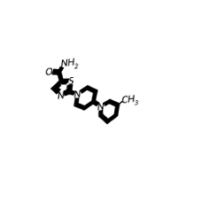 C[C@@H]1CCCN(C2CCN(c3ncc(C(N)=O)s3)CC2)C1